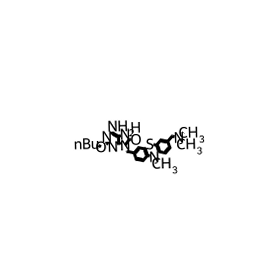 CCCCOc1nc(N)c2nc(O)n(Cc3ccc4c(c3)Sc3cc(CN(C)C)ccc3N4C)c2n1